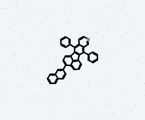 c1ccc(-c2c3c(c(-c4ccccc4)c4cnccc24)-c2cccc4c(-c5ccc6ccccc6c5)ccc-3c24)cc1